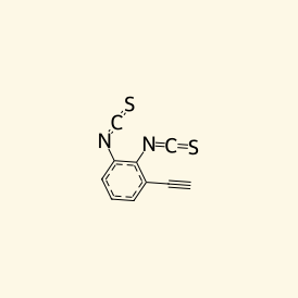 C#Cc1cccc(N=C=S)c1N=C=S